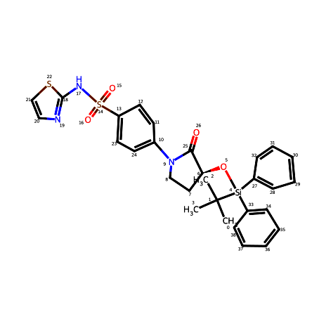 CC(C)(C)[Si](O[C@H]1CCN(c2ccc(S(=O)(=O)Nc3nccs3)cc2)C1=O)(c1ccccc1)c1ccccc1